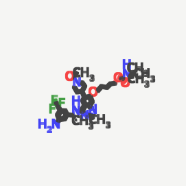 CC(=O)N1CCC(c2cc3c(N[C@H](C)c4cc(N)cc(C(F)(F)F)c4)nc(C)nc3cc2OCCCCCOC(=O)NC(C)(C)C)CC1